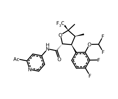 CC(=O)c1cc(NC(=O)[C@@H]2O[C@@](C)(C(F)(F)F)[C@@H](C)[C@H]2c2ccc(F)c(F)c2OC(F)F)ccn1